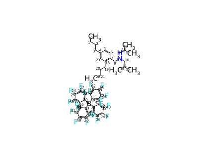 CCCCc1ccc(C[NH+](CC(C)C)CC(C)C)c(CCCC)c1.Fc1c(F)c(F)c([B-](c2c(F)c(F)c(F)c(F)c2F)(c2c(F)c(F)c(F)c(F)c2F)c2c(F)c(F)c(F)c(F)c2F)c(F)c1F